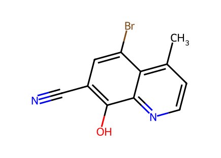 Cc1ccnc2c(O)c(C#N)cc(Br)c12